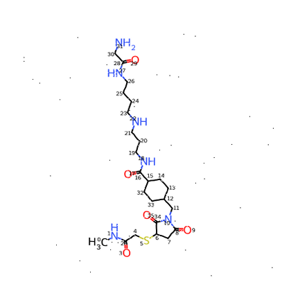 CNC(=O)CSC1CC(=O)N(CC2CCC(C(=O)NCCCNCCCCNC(=O)CN)CC2)C1=O